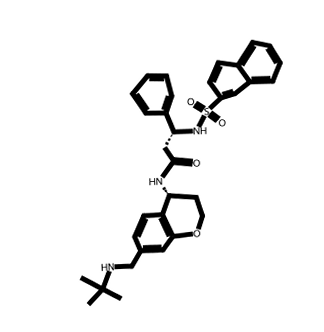 CC(C)(C)NCc1ccc2c(c1)OCC[C@H]2NC(=O)C[C@@H](NS(=O)(=O)c1ccc2ccccc2c1)c1ccccc1